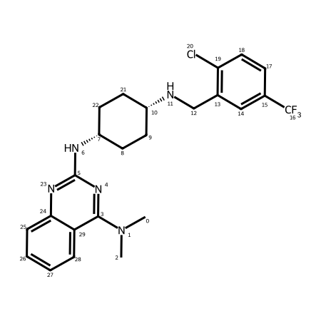 CN(C)c1nc(N[C@H]2CC[C@@H](NCc3cc(C(F)(F)F)ccc3Cl)CC2)nc2ccccc12